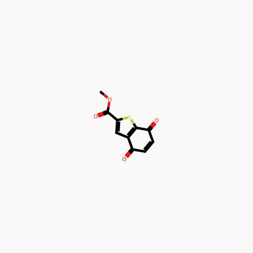 COC(=O)c1cc2c(s1)C(=O)C=CC2=O